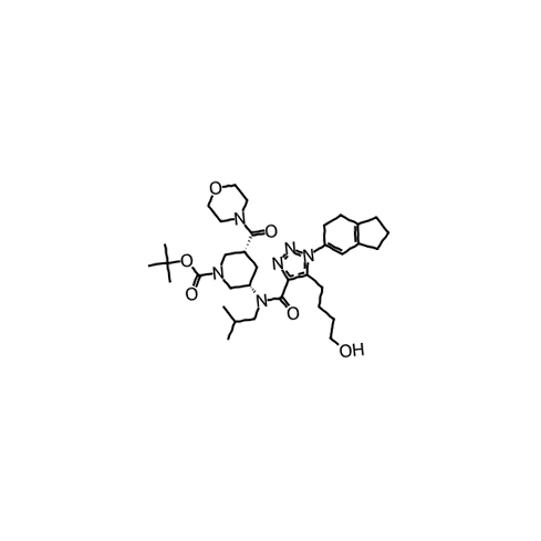 CC(C)CN(C(=O)c1nnn(C2=CC3=C(CCC3)CC2)c1CCCCO)[C@H]1C[C@@H](C(=O)N2CCOCC2)CN(C(=O)OC(C)(C)C)C1